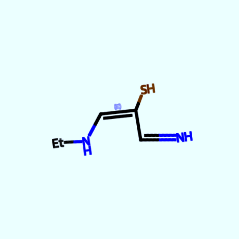 CCN/C=C(/S)C=N